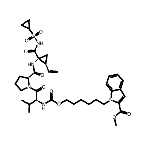 C=C[C@@H]1C[C@]1(NC(=O)[C@@H]1CCCN1C(=O)[C@@H](NC(=O)OCCCCCCn1c(C(=O)OC)cc2ccccc21)C(C)C)C(=O)NS(=O)(=O)C1CC1